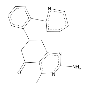 Cc1ccc(-c2ccccc2C2CC(=O)c3c(C)nc(N)nc3C2)nc1